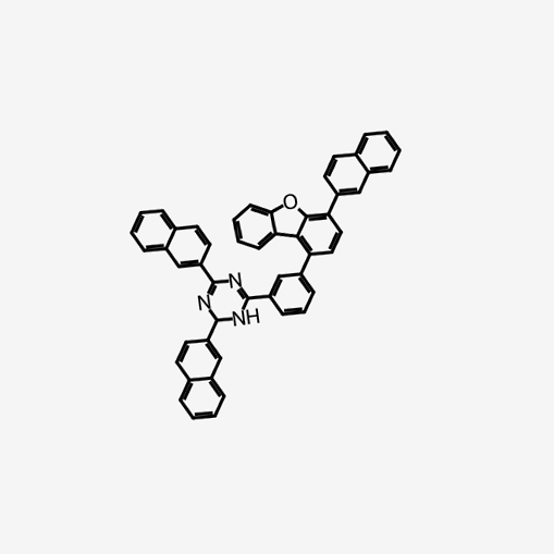 c1cc(C2=NC(c3ccc4ccccc4c3)=NC(c3ccc4ccccc4c3)N2)cc(-c2ccc(-c3ccc4ccccc4c3)c3oc4ccccc4c23)c1